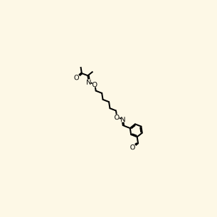 CC(=O)/C(C)=N/OCCCCCCO/N=C/c1cccc(C=O)c1